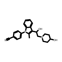 Cc1c(C(O)CN2CCC(O)CC2)c2ccccc2n1-c1ccc(C#N)cc1